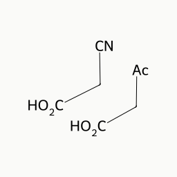 CC(=O)CC(=O)O.N#CCC(=O)O